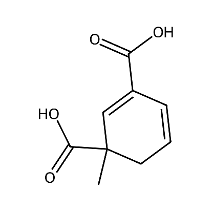 CC1(C(=O)O)C=C(C(=O)O)C=CC1